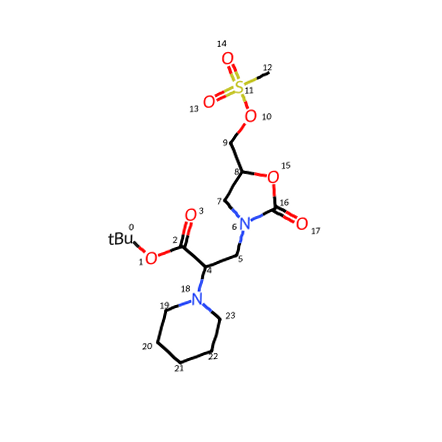 CC(C)(C)OC(=O)C(CN1CC(COS(C)(=O)=O)OC1=O)N1CCCCC1